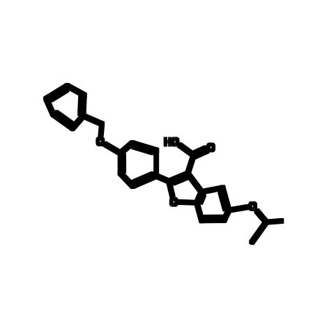 CC(C)Oc1ccc2oc(-c3ccc(OCc4ccccc4)cc3)c(C(=O)O)c2c1